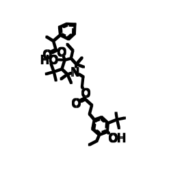 CCc1cc(CCC(=O)OCCN2C(C)(C)C(CC)C(O)(OC(=O)C(C)c3ccccc3)C(C(C)(C)C)C2(C)C)cc(C(C)(C)C)c1O